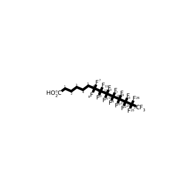 O=C(O)CCCCCC(F)(F)C(F)(F)C(F)(F)C(F)(F)C(F)(F)C(F)(F)C(F)(F)C(F)(F)F